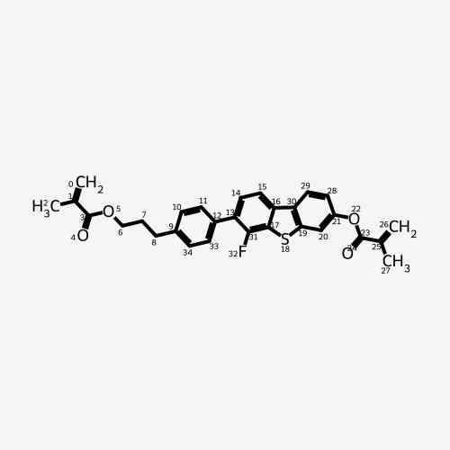 C=C(C)C(=O)OCCCc1ccc(-c2ccc3c(sc4cc(OC(=O)C(=C)C)ccc43)c2F)cc1